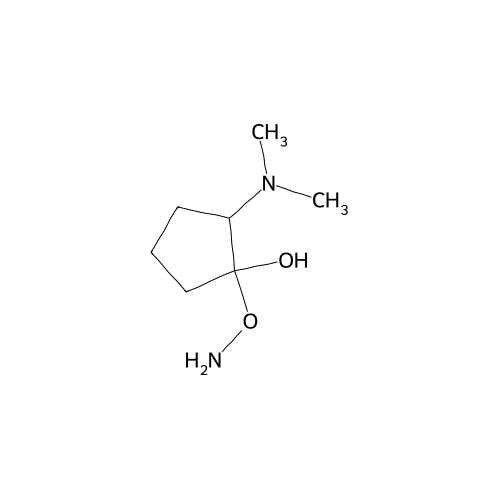 CN(C)C1CCCC1(O)ON